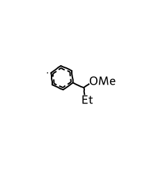 CCC(OC)c1cc[c]cc1